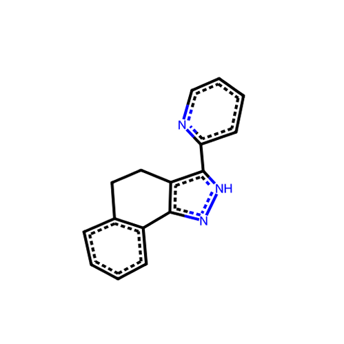 c1ccc(-c2[nH]nc3c2CCc2ccccc2-3)nc1